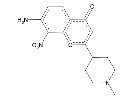 CN1CCC(c2cc(=O)c3ccc(N)c([N+](=O)[O-])c3o2)CC1